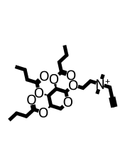 C#CC[N+](C)(C)CCOC1OC[C@H](OC(=O)CCC)[C@H](OC(=O)CCC)[C@H]1OC(=O)CCC